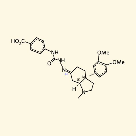 COc1ccc([C@@]23CC/C(=N\NC(=O)Nc4ccc(C(=O)O)cc4)C[C@@H]2N(C)CC3)cc1OC